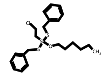 CCCCCCO[Si](CCCl)(SCc1ccccc1)SCc1ccccc1